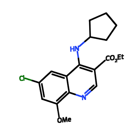 CCOC(=O)c1cnc2c(OC)cc(Cl)cc2c1NC1CCCC1